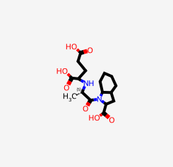 C[C@H](NC(CCC(=O)O)C(=O)O)C(=O)N1C(C(=O)O)CC2CCCCC21